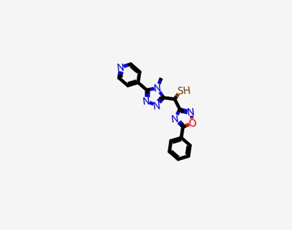 Cn1c(-c2ccncc2)nnc1C(S)c1noc(-c2ccccc2)n1